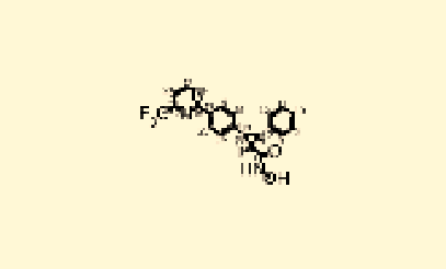 O=C(NO)[C@@]1(F)[C@@H](c2ccccc2)[C@@H]1c1ccc(-c2nccc(C(F)(F)F)n2)cc1